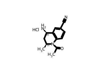 CC(=O)N1c2ccc(C#N)cc2[C@H](N)C[C@@H]1C.Cl